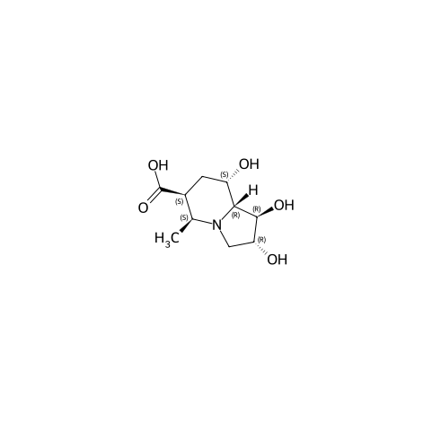 C[C@H]1[C@@H](C(=O)O)C[C@H](O)[C@@H]2[C@@H](O)[C@H](O)CN21